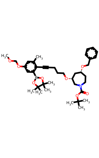 COCOc1cc(C)c(C#CCCCO[C@@H]2C[C@H](OCc3ccccc3)CCN(C(=O)OC(C)(C)C)C2)c(B2OC(C)(C)C(C)(C)O2)c1